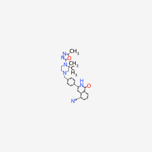 Cc1nnc(N2CCN(Cc3ccc(-c4cc5c(C#N)cccc5c(=O)[nH]4)cc3)CC2(C)C)o1